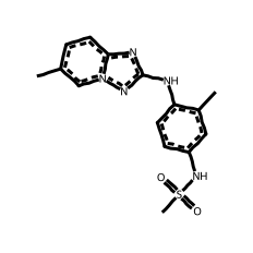 Cc1ccc2nc(Nc3ccc(NS(C)(=O)=O)cc3C)nn2c1